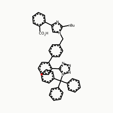 CCCCc1nc(-c2ccccc2C(=O)O)cn1Cc1ccc(-c2ccccc2-c2nnnn2C(c2ccccc2)(c2ccccc2)c2ccccc2)cc1